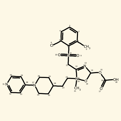 Cc1cccc(Cl)c1S(=O)(=O)CC1=NC(OC(=O)O)O[N+]1(C)CCC1CCN(c2ccncc2)CC1